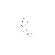 O=C1Nc2ccc(F)cc2C1=Cc1cc(F)c2cccccc1-2